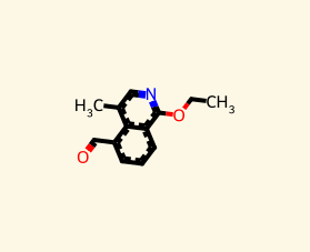 CCOc1ncc(C)c2c(C=O)cccc12